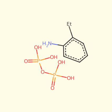 CCc1ccccc1N.O=P(O)(O)OP(=O)(O)O